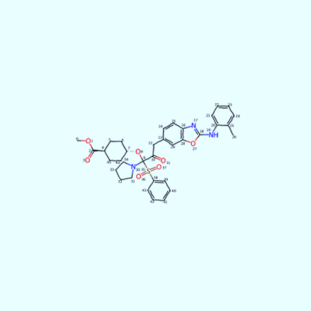 COC(=O)[C@H]1CC[C@H](OC(C(=O)Cc2ccc3nc(Nc4ccccc4C)oc3c2)(N2CCCC2)S(=O)(=O)c2ccccc2)CC1